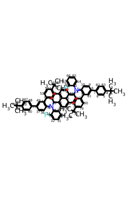 CC(C)(C)c1ccc(-c2ccc(N(C3=C4C=CC5=C6C(=CC=C(C=C3)C46)C(N(c3ccccc3F)c3ccc(-c4ccc(C(C)(C)C)cc4)cc3-c3ccc(C(C)(C)C)cc3)C=C5)c3ccccc3F)c(-c3ccc(C(C)(C)C)cc3)c2)cc1